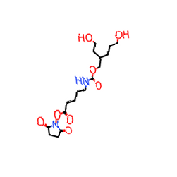 O=C(CCCCNC(=O)OCC(CCO)CCCO)ON1C(=O)CCC1=O